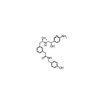 C[C@H](Cc1cccc(CC(=O)NCc2ccc(O)cc2)c1)NC[C@H](O)c1ccc(N)nc1